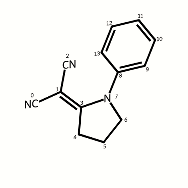 N#CC(C#N)=C1CCCN1c1ccccc1